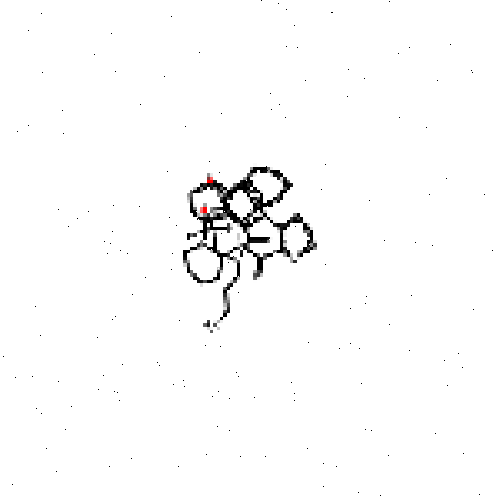 CCCCN(CC(F)(F)F)C(=O)C1c2ccccc2-c2cccc(N3CCCCC3NC(=O)c3ncccc3-c3ccc(F)c(C)c3)c21